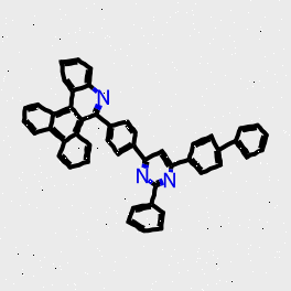 c1ccc(-c2ccc(-c3cc(-c4ccc(-c5nc6ccccc6c6c7ccccc7c7ccccc7c56)cc4)nc(-c4ccccc4)n3)cc2)cc1